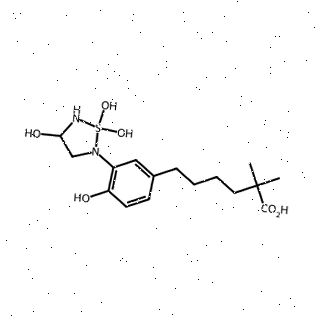 CC(C)(CCCCc1ccc(O)c(N2CC(O)NS2(O)O)c1)C(=O)O